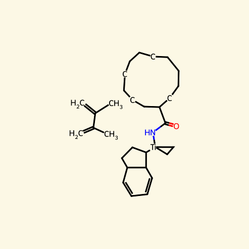 C=C(C)C(=C)C.O=C([NH][Ti]1([CH]2CCC3C=CC=CC32)[CH2][CH2]1)C1CCCCCCCCCCC1